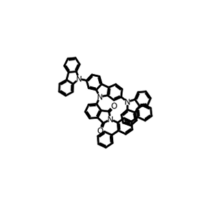 O=C1c2cccc(-n3c4cc(-n5c6ccccc6c6ccccc65)ccc4c4ccc(-n5c6ccccc6c6ccccc65)cc43)c2C(=O)N1c1cc(-c2ccccc2)ccc1-c1ccccc1